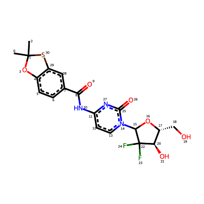 CC1(C)Oc2ccc(C(=O)Nc3ccn(C4O[C@H](CO)[C@@H](O)C4(F)F)c(=O)n3)cc2S1